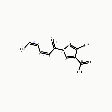 C=C(/C=C\C=C/N)n1cc(C(=O)O)c(F)n1